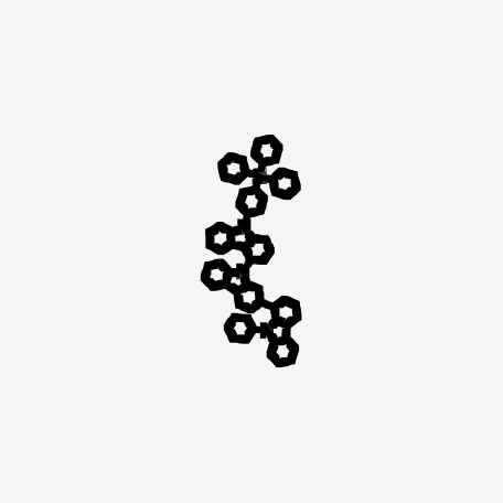 c1ccc(-n2c3ccccc3c3cccc(-c4ccc5c6ccccc6n(-c6cccc7c6c6ccccc6n7-c6ccc([Si](c7ccccc7)(c7ccccc7)c7ccccc7)cc6)c5c4)c32)cc1